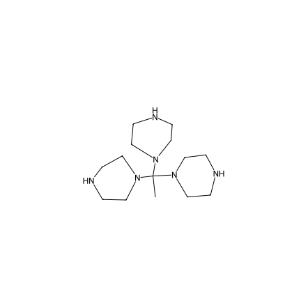 CC(N1CCNCC1)(N1CCNCC1)N1CCNCC1